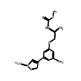 CC(COc1cc(N)cc(-c2cnn(C)c2)c1)NC(=O)OC(C)(C)C